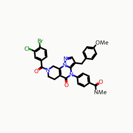 CNC(=O)c1ccc(-n2c(=O)c3c(n4ncc(Cc5ccc(OC)cc5)c24)CN(C(=O)c2ccc(Br)c(Cl)c2)CC3)cc1